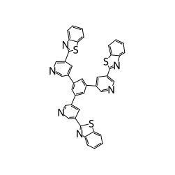 c1ccc2sc(-c3cncc(-c4cc(-c5cncc(-c6nc7ccccc7s6)c5)cc(-c5cncc(-c6nc7ccccc7s6)c5)c4)c3)nc2c1